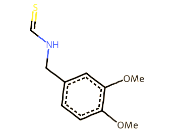 COc1ccc(CNC=S)cc1OC